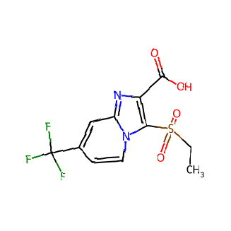 CCS(=O)(=O)c1c(C(=O)O)nc2cc(C(F)(F)F)ccn12